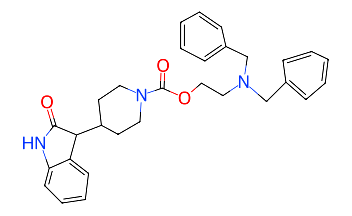 O=C1Nc2ccccc2C1C1CCN(C(=O)OCCN(Cc2ccccc2)Cc2ccccc2)CC1